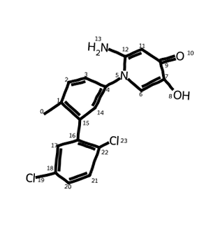 Cc1ccc(-n2cc(O)c(=O)cc2N)cc1-c1cc(Cl)ccc1Cl